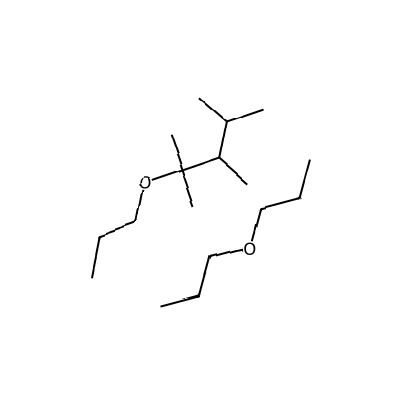 CCCOC(C)(C)C(C)C(C)C.CCCOCCC